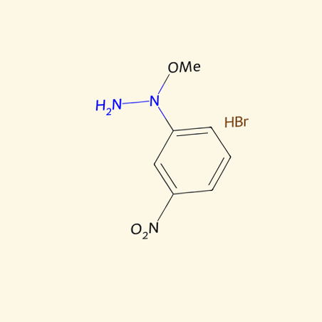 Br.CON(N)c1cccc([N+](=O)[O-])c1